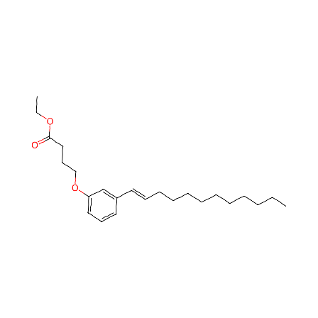 CCCCCCCCCCC=Cc1cccc(OCCCC(=O)OCC)c1